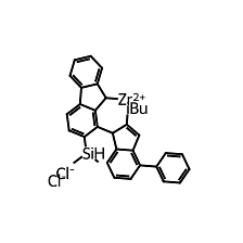 CCC(C)C1=Cc2c(-c3ccccc3)cccc2C1c1c([SiH](C)C)ccc2c1[CH]([Zr+2])c1ccccc1-2.[Cl-].[Cl-]